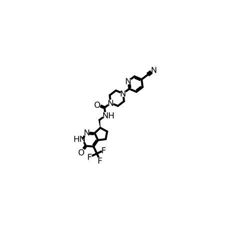 N#Cc1ccc(N2CCN(C(=O)NC[C@H]3CCc4c3n[nH]c(=O)c4C(F)(F)F)CC2)nc1